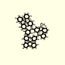 Cn1c2ccccc2c2c(N(c3ccccc3)c3ccc4c(c3)-c3ccccc3C43c4ccccc4-c4ccccc43)cc(N(c3ccccc3)c3ccc4c(c3)C3(c5ccccc5-c5ccccc53)c3ccccc3-4)cc21